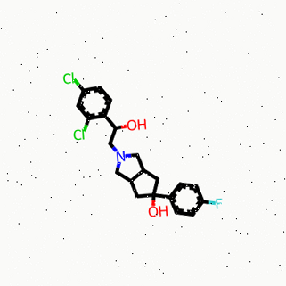 OC(CN1CC2CC(O)(c3ccc(F)cc3)CC2C1)c1ccc(Cl)cc1Cl